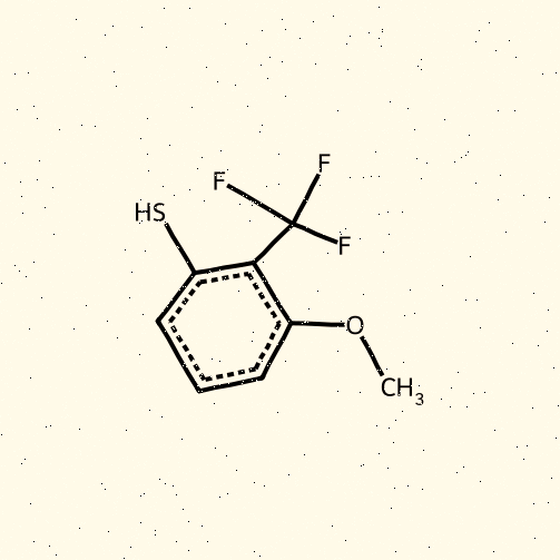 COc1cccc(S)c1C(F)(F)F